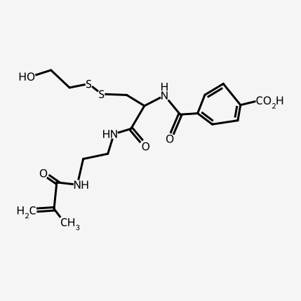 C=C(C)C(=O)NCCNC(=O)C(CSSCCO)NC(=O)c1ccc(C(=O)O)cc1